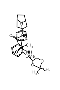 COc1cccc(C(=O)NC2CC3CCC(C2)N3c2ccc(C(=O)NCC3COC(C)(C)O3)cn2)c1C